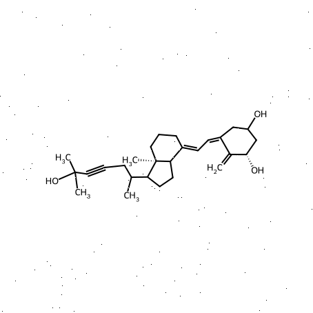 C=C1/C(=C\C=C2/CCC[C@@]3(C)C2CCC3C(C)CC#CC(C)(C)O)CC(O)C[C@@H]1O